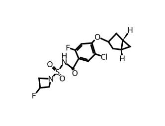 O=C(NS(=O)(=O)N1CC(F)C1)c1cc(Cl)c(OC2C[C@@H]3C[C@@H]3C2)cc1F